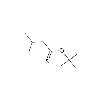 CC(C)CC(=S)OC(C)(C)C